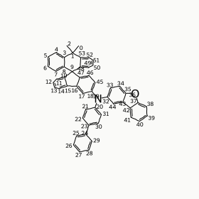 CC1(C)c2ccccc2C2(c3ccccc3-c3cc(N(c4ccc(-c5ccccc5)cc4)c4ccc5oc6ccccc6c5c4)ccc32)c2ccccc21